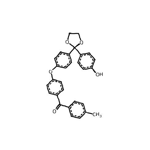 Cc1ccc(C(=O)c2ccc(Oc3ccc(C4(c5ccc(O)cc5)OCCO4)cc3)cc2)cc1